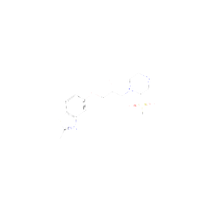 Cc1nc2cc(OC[C@H](O)CN3CCNC[C@@H]3S(C)(=O)=O)ccc2s1